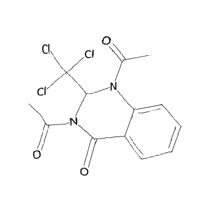 CC(=O)N1C(=O)c2ccccc2N(C(C)=O)C1C(Cl)(Cl)Cl